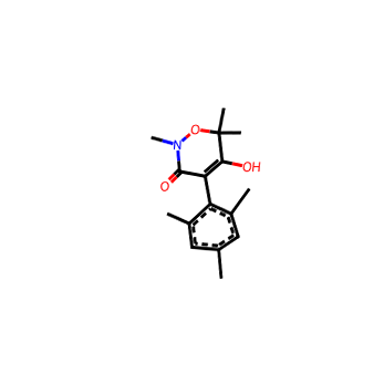 Cc1cc(C)c(C2=C(O)C(C)(C)ON(C)C2=O)c(C)c1